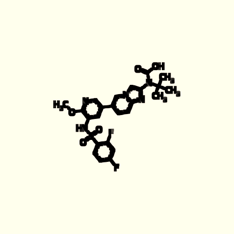 COc1ncc(-c2ccc3nc(N(C(=O)O)C(C)(C)C)cn3c2)cc1NS(=O)(=O)c1ccc(F)cc1F